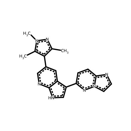 Cc1nn(C)c(C)c1-c1cnc2[nH]cc(-c3ccc4nccn4n3)c2c1